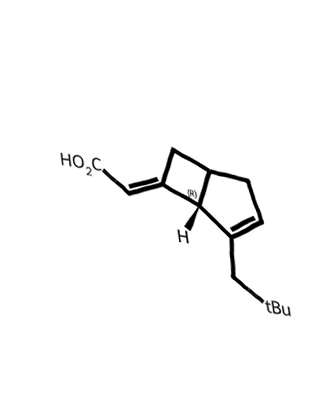 CC(C)(C)CC1=CCC2CC(=CC(=O)O)[C@@H]12